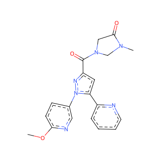 COc1ccc(-n2nc(C(=O)N3CC(=O)N(C)C3)cc2-c2ccccn2)cn1